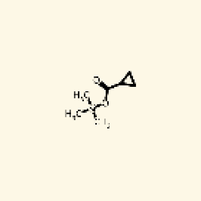 C[Si](C)(C)OC(=O)C1CC1